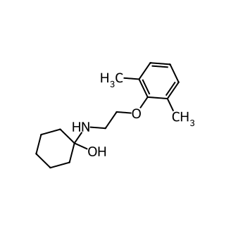 Cc1cccc(C)c1OCCNC1(O)CCCCC1